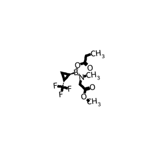 CCC(=O)OB([C@@H]1C[C@H]1C(F)(F)F)N(C)CC(=O)OC